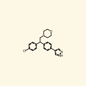 Clc1ccc(C(CN2CCOCC2)c2ccc(-c3cn[nH]c3)cc2)cc1